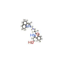 C[C@@H](NC/C=C/C(C)(C)C(=O)NC(CCO)c1ccccc1)c1cccc2ccccc12